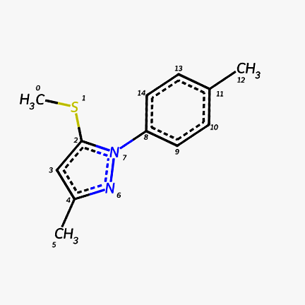 CSc1cc(C)nn1-c1ccc(C)cc1